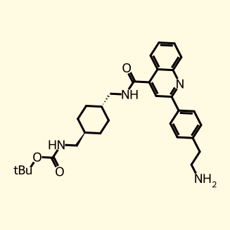 CC(C)(C)OC(=O)NC[C@H]1CC[C@H](CNC(=O)c2cc(-c3ccc(CCN)cc3)nc3ccccc23)CC1